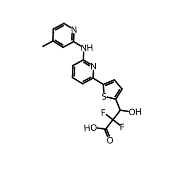 Cc1ccnc(Nc2cccc(-c3ccc(C(O)C(F)(F)C(=O)O)s3)n2)c1